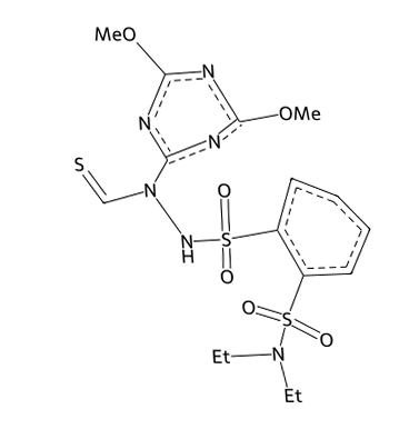 CCN(CC)S(=O)(=O)c1ccccc1S(=O)(=O)NN(C=S)c1nc(OC)nc(OC)n1